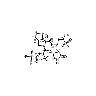 CC(C)(C)[C@@H](NC(=O)C(F)(F)F)C(=O)N1C[C@H]2CCC[C@H]2[C@H]1C(=O)N[C@H](/C=C(/F)S(C)(=O)=O)C[C@H]1CCNC1=O